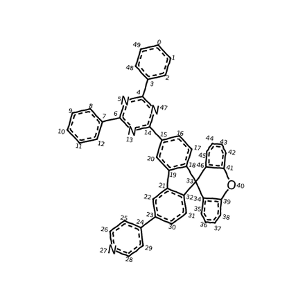 c1ccc(-c2nc(-c3ccccc3)nc(-c3ccc4c(c3)-c3cc(-c5ccncc5)ccc3C43c4ccccc4Oc4ccccc43)n2)cc1